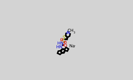 CN1CCc2cc(S(=O)(=O)NC(=O)Nc3c4c(cc5c3CCC5)CCC4)sc2C1.[Na]